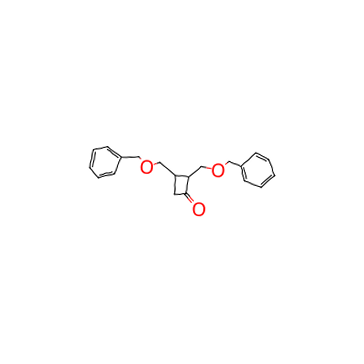 O=C1CC(COCc2ccccc2)C1COCc1ccccc1